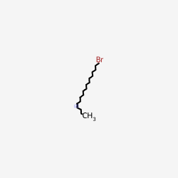 CCC/C=C\CCCCCCCCCCCCCBr